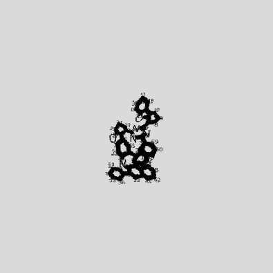 c1ccc(-c2nc(-c3cccc4c3oc3ccccc34)nc(-c3cccc4oc5cc(-n6c7ccccc7c7cc8ccccc8cc76)c(-c6ccccc6)cc5c34)n2)cc1